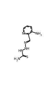 NC(=S)NNN=Cc1ncccc1N